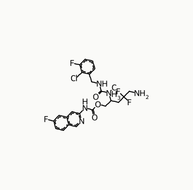 CN(C(=O)NCc1cccc(F)c1Cl)C(COC(=O)Nc1cc2cc(F)ccc2cn1)CC(F)(F)CN